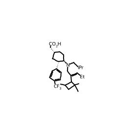 CC/C=C(/CN(CC(C)C)[C@@H]1CC[C@@H](CC(=O)O)C[C@H]1c1ccc(C(F)(F)F)cc1)C1C(C)CC1(C)C